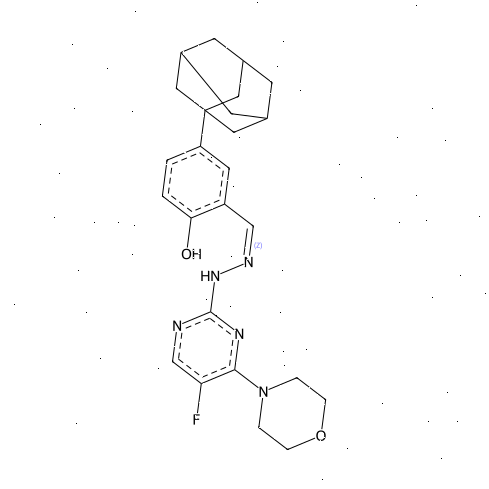 Oc1ccc(C23CC4CC(CC(C4)C2)C3)cc1/C=N\Nc1ncc(F)c(N2CCOCC2)n1